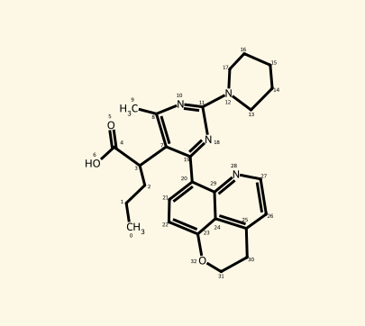 CCCC(C(=O)O)c1c(C)nc(N2CCCCC2)nc1-c1ccc2c3c(ccnc13)CCO2